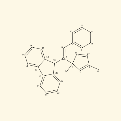 CC1=C[C](C)([Zr](=[CH]c2ccccc2)[CH]2c3ccccc3-c3ccccc32)C=C1